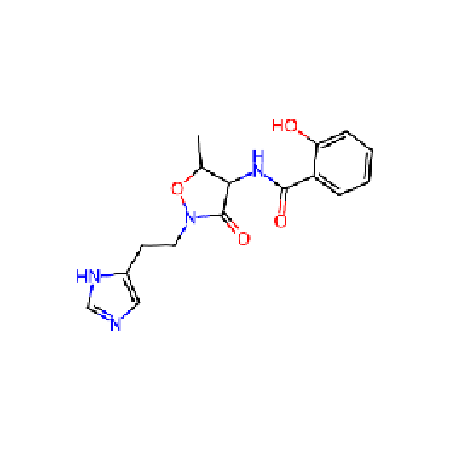 CC1ON(CCc2cnc[nH]2)C(=O)C1NC(=O)c1ccccc1O